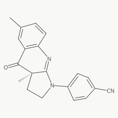 Cc1ccc2c(c1)C(=O)[C@]1(C)CCN(c3ccc(C#N)cc3)C1=N2